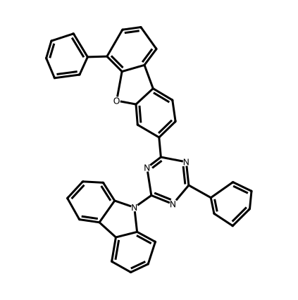 c1ccc(-c2nc(-c3ccc4c(c3)oc3c(-c5ccccc5)cccc34)nc(-n3c4ccccc4c4ccccc43)n2)cc1